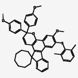 COc1ccc(C2(c3ccc(OC)cc3)C=Cc3c4c(c5cc(Sc6c(C)cccc6C)c(OC)cc5c3O2)-c2ccccc2C42CCCCCCC2)cc1